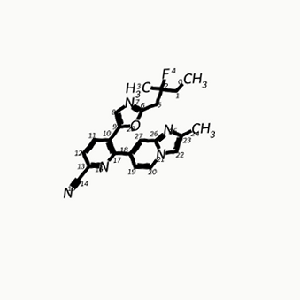 CCC(C)(F)Cc1ncc(-c2ccc(C#N)nc2-c2ccn3cc(C)nc3c2)o1